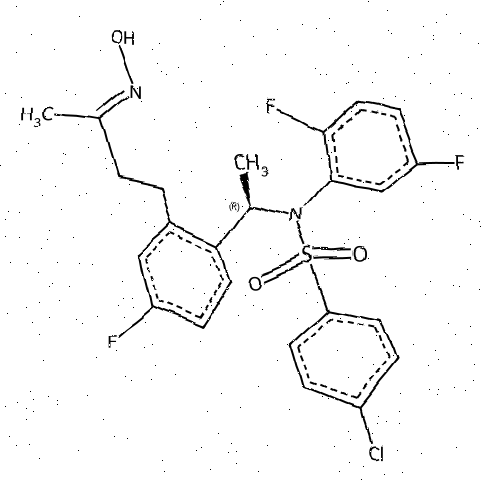 CC(CCc1cc(F)ccc1[C@@H](C)N(c1cc(F)ccc1F)S(=O)(=O)c1ccc(Cl)cc1)=NO